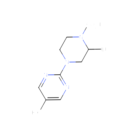 CCC1CN(c2ncc(C(F)(F)F)cn2)CCN1C(=O)O